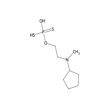 CN(CCOP(O)(=S)S)C1CCCC1